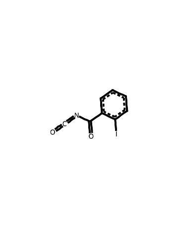 O=C=NC(=O)c1ccccc1I